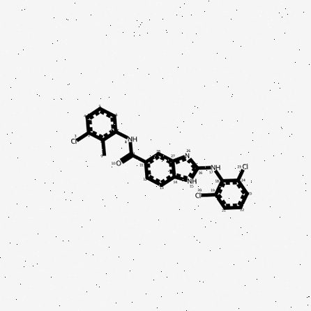 Cc1c(Cl)cccc1NC(=O)c1ccc2[nH]c(Nc3c(Cl)cccc3Cl)nc2c1